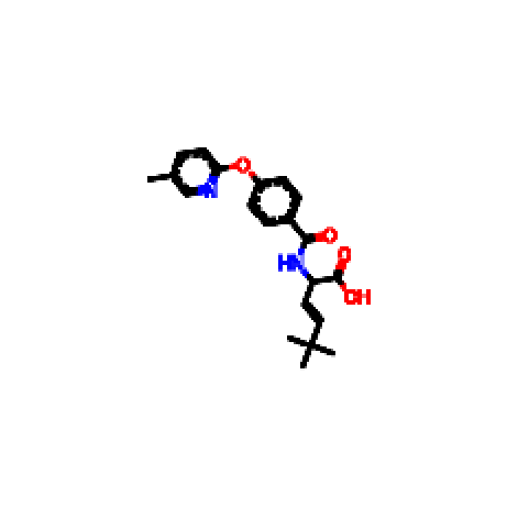 Cc1ccc(Oc2ccc(C(=O)NC(/C=C/C(C)(C)C)C(=O)O)cc2)nc1